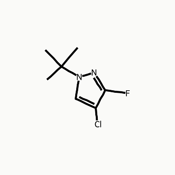 CC(C)(C)n1cc(Cl)c(F)n1